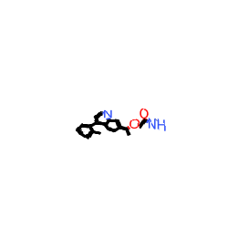 CNC(=O)COC(C)c1ccc2c(-c3ccccc3C)ccnc2c1